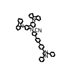 N#Cc1cc(-c2ccc(-c3ccc(-c4cc(-c5ccccc5)nc(-c5ccccc5)n4)cc3)cc2)ccc1-n1c2ccc(-n3c4ccccc4c4ccccc43)cc2c2cc(-n3c4ccccc4c4ccccc43)ccc21